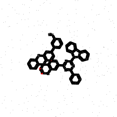 CC(C)(C)c1cccc(-c2ccc3c(c2)Oc2ccccc2S32c3ccccc3Oc3cc(-c4nc(-c5ccccc5)nc(-n5c6ccccc6c6ccccc65)n4)ccc32)c1